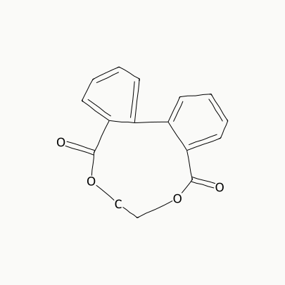 O=C1OCCOC(=O)c2ccccc2-c2ccccc21